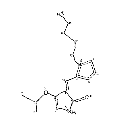 CC(C)OC1=NNC(=O)C1=Cc1cccn1CCCCO